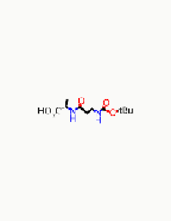 C[C@H](NC(=O)CCNC(=O)OC(C)(C)C)C(=O)O